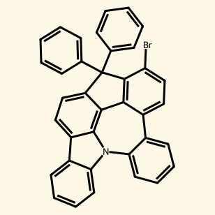 Brc1ccc2c3c1C(c1ccccc1)(c1ccccc1)c1ccc4c5ccccc5n(c4c1-3)-c1ccccc1-2